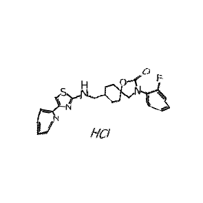 Cl.O=C1OC2(CCC(CNc3nc(-c4ccccn4)cs3)CC2)CN1c1ccccc1F